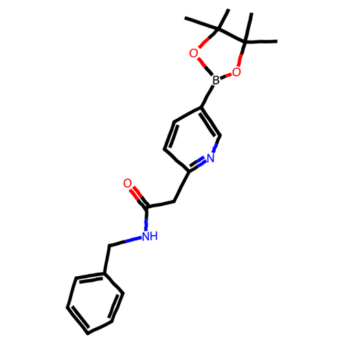 CC1(C)OB(c2ccc(CC(=O)NCc3ccccc3)nc2)OC1(C)C